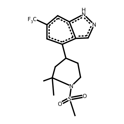 CC1(C)CC(c2cc(C(F)(F)F)cc3[nH]ncc23)CCN1S(C)(=O)=O